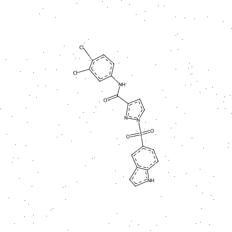 O=C(Nc1ccc(Cl)c(Cl)c1)c1ccn(S(=O)(=O)c2ccc3[nH]ccc3c2)n1